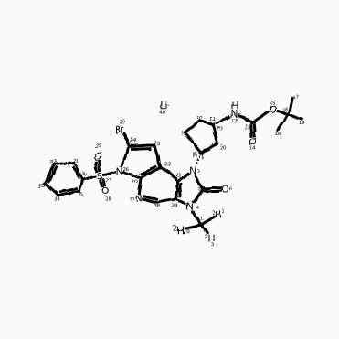 [2H]C([2H])([2H])n1c(=O)n([C@@H]2CC[C@@H](NC(=O)OC(C)(C)C)C2)c2c3cc(Br)n(S(=O)(=O)c4ccccc4)c3ncc21.[Li]